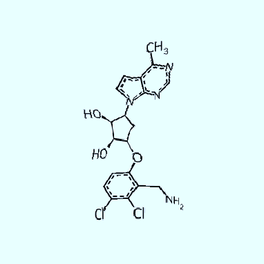 Cc1ncnc2c1ccn2C1CC(Oc2ccc(Cl)c(Cl)c2CN)[C@@H](O)[C@H]1O